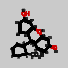 O=C(O)C1CC=CC=C1c1c2ccc(=O)cc-2oc2cc(O)ccc12